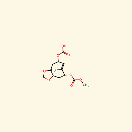 COC(=O)OC1CC2OCOC2CC(OC(=O)O)/C=C/1C